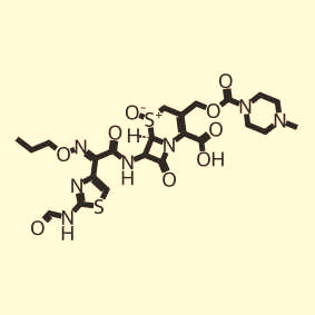 CCCO/N=C(/C(=O)NC1C(=O)N2C(C(=O)O)=C(COC(=O)N3CCN(C)CC3)C[S+]([O-])[C@H]12)c1csc(NC=O)n1